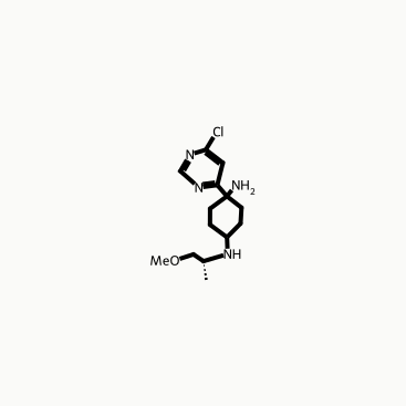 COC[C@@H](C)NC1CCC(N)(c2cc(Cl)ncn2)CC1